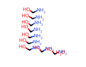 NCO.NCO.NCO.NCO.NCO.NCO.NCO.NCO.NCO.O